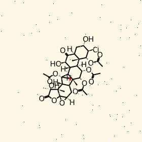 CC(=O)O[C@H]1[C@H]2[C@H]([C@@H]3[C@@]4(OC(C)=O)C[C@@]5([C@H](C)[C@H]6O[C@]67OC(=O)[C@@](C)(O)[C@]7(C)[C@H]45)[C@@]3(C)[C@H]1OC(C)=O)[C@@H](O)C(=O)[C@H]1C[C@H](O)[C@@H](Cl)[C@H](OC(C)=O)[C@]21C